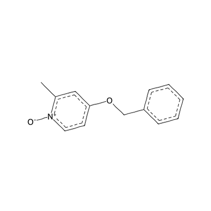 Cc1cc(OCc2ccccc2)cc[n+]1[O-]